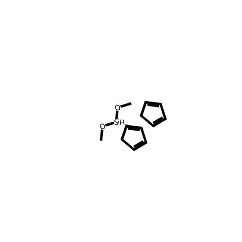 C1=CCC=C1.C1=CCC=C1.CO[SiH2]OC